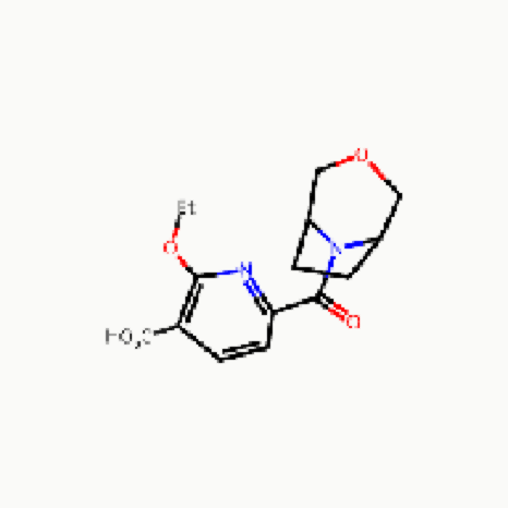 CCOc1nc(C(=O)N2C3CCC2COC3)ccc1C(=O)O